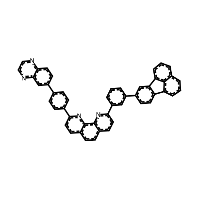 c1cc(-c2ccc3c(c2)-c2cccc4cccc-3c24)cc(-c2ccc3ccc4ccc(-c5ccc(-c6ccc7nccnc7c6)cc5)nc4c3n2)c1